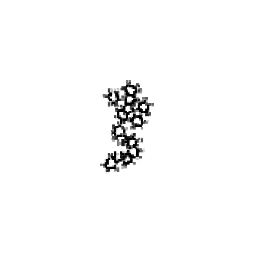 C1=CC(c2ccc3c(c2)C(c2ccccc2)(c2ccccc2)c2cc4ccccc4c(-c4ccccc4)c2-3)CC(C2=CC=C3C=CC4=C(NC(c5ccccc5)C=C4)C3N2)=C1